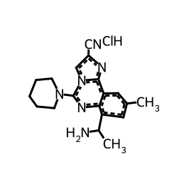 Cc1cc(C(C)N)c2nc(N3CCCCC3)n3cc(C#N)nc3c2c1.Cl